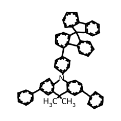 CC1(C)c2cc(-c3ccccc3)ccc2N(c2ccc(-c3cccc4c3-c3ccccc3C43c4ccccc4-c4ccccc43)cc2)c2ccc(-c3ccccc3)cc21